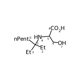 CCCCCC(CC)(CC)NC(CO)C(=O)O